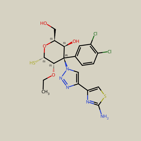 CCO[C@@H]1[C@H](S)O[C@@H](CO)[C@@H](O)[C@@]1(c1ccc(Cl)c(Cl)c1)n1cc(-c2csc(N)n2)nn1